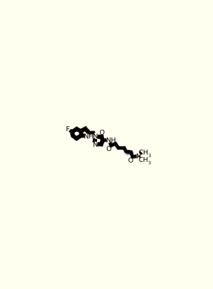 CN(C)C(=O)/C=C/CCCC(=O)Nc1cncn(Cc2cc3cc(F)ccc3[nH]2)c1=O